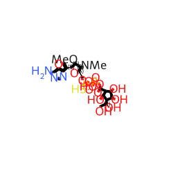 CN[C@H]1[C@@H](OC)[C@H](c2coc3c(N)ncnc23)O[C@@H]1COP(=O)(S)OP(=O)(O)OC1OC2(O)C1C(O)C(O)C2[C@@H](O)CO